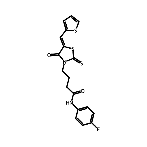 O=C(CCCN1C(=O)/C(=C/c2cccs2)SC1=S)Nc1ccc(F)cc1